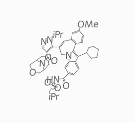 COc1ccc2c(c1)C=C(c1c(C(=O)N3C4COCC3COC4)cnn1C(C)C)Cn1c-2c(C2CCCCC2)c2ccc(C(=O)NS(=O)(=O)CC(C)C)cc21